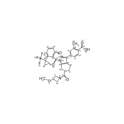 COC1CN(C(=O)C2CCc3c(-c4ccc(C(=O)O)c(C)c4)nn(C(=O)c4c(Cl)cccc4C4(C(F)(F)F)CC4)c3C2)C1